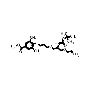 C=CCOCC(COCCCOc1c(C)cc(C(=O)OC)cc1C)NC(=O)OC(C)(C)C